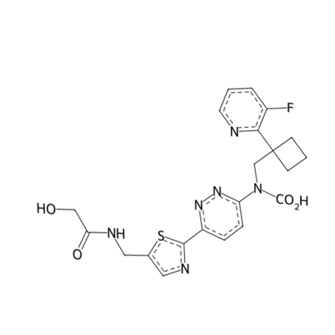 O=C(CO)NCc1cnc(-c2ccc(N(CC3(c4ncccc4F)CCC3)C(=O)O)nn2)s1